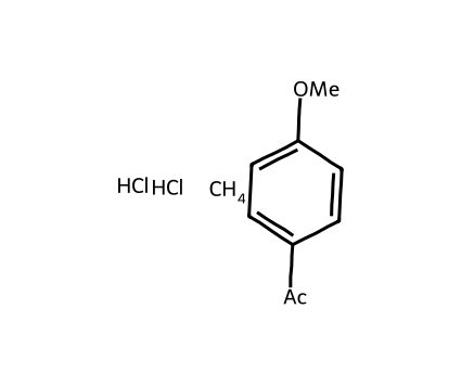 C.COc1ccc(C(C)=O)cc1.Cl.Cl